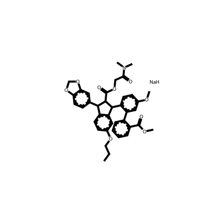 CCCOc1ccc2c(c1)C(c1ccc(OC)cc1-c1ccccc1C(=O)OC)C(C(=O)OCC(=O)N(C)C)C2c1ccc2c(c1)OCO2.[NaH]